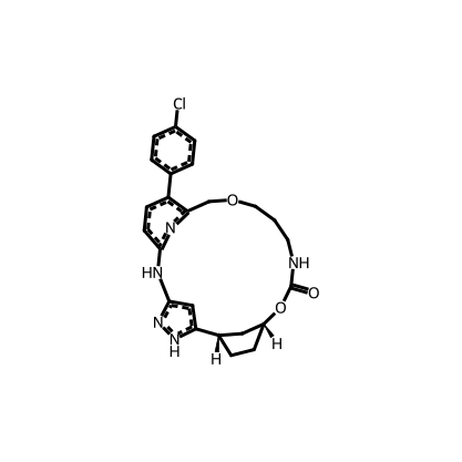 O=C1NCCCOCc2nc(ccc2-c2ccc(Cl)cc2)Nc2cc([nH]n2)[C@H]2CC[C@H](C2)O1